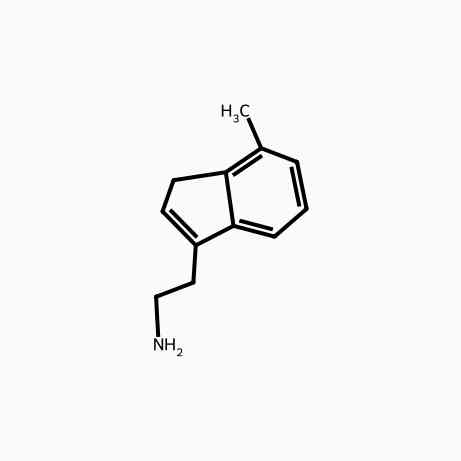 Cc1cccc2c1CC=C2CCN